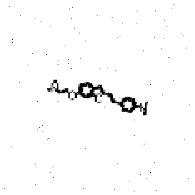 CN(C)CCOc1ccc2cc(C=Cc3ccc(N(C)C)cc3)oc2c1